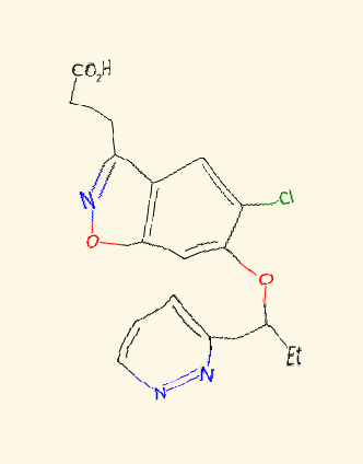 CCC(Oc1cc2onc(CCC(=O)O)c2cc1Cl)c1cccnn1